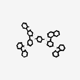 N#Cc1cc(-n2c3ccc(-n4c5ccccc5c5ccccc54)cc3c3c4ccccc4ccc32)c(C#N)cc1-n1c2ccc(-n3c4ccccc4c4ccccc43)cc2c2cc3c(cc21)sc1ccccc13